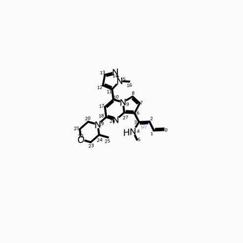 C=C/C=C(\NC)c1ccn2c(-c3ccnn3C)cc(N3CCOCC3C)nc12